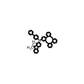 CC1(C)c2ccccc2-c2ccc(N(c3ccc(-c4ccccc4)cc3)c3ccc4c(c3)Cc3ccccc3-c3ccccc3Cc3ccccc3-4)cc21